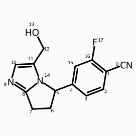 N#Cc1ccc(C2CCc3ncc(CO)n32)cc1F